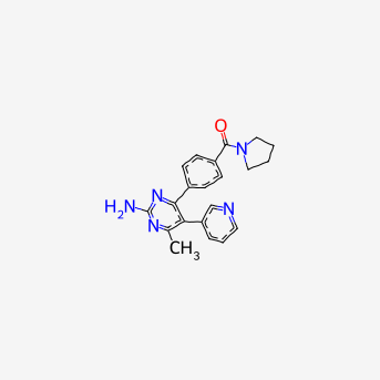 Cc1nc(N)nc(-c2ccc(C(=O)N3CCCC3)cc2)c1-c1cccnc1